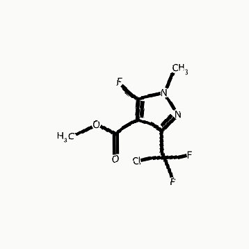 COC(=O)c1c(C(F)(F)Cl)nn(C)c1F